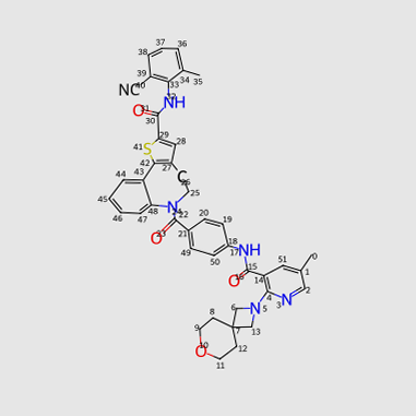 Cc1cnc(N2CC3(CCOCC3)C2)c(C(=O)Nc2ccc(C(=O)N3CCc4cc(C(=O)Nc5c(C)cccc5C#N)sc4-c4ccccc43)cc2)c1